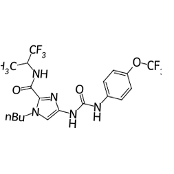 CCCCn1cc(NC(=O)Nc2ccc(OC(F)(F)F)cc2)nc1C(=O)NC(C)C(F)(F)F